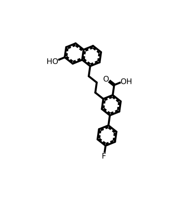 O=C(O)c1ccc(-c2ccc(F)cc2)cc1CCCc1cccc2ccc(O)cc12